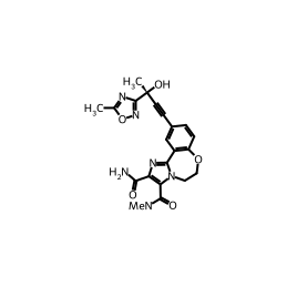 CNC(=O)c1c(C(N)=O)nc2n1CCOc1ccc(C#C[C@@](C)(O)c3noc(C)n3)cc1-2